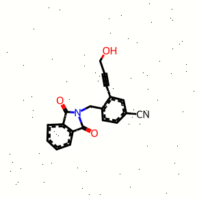 N#Cc1ccc(CN2C(=O)c3ccccc3C2=O)c(C#CCO)c1